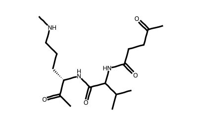 CNCCC[C@H](NC(=O)C(NC(=O)CCC(C)=O)C(C)C)C(C)=O